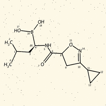 CC(C)C[C@H](NC(=O)C1CC(C2CC2)=NO1)B(O)O